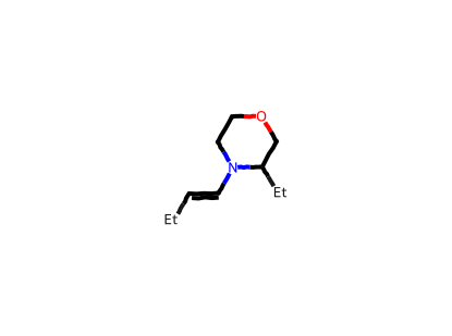 CCC=CN1CCOCC1CC